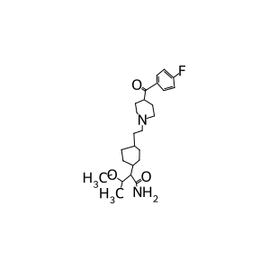 COC(C)C(C(N)=O)C1CCC(CCN2CCC(C(=O)c3ccc(F)cc3)CC2)CC1